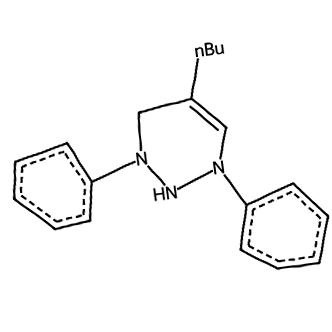 CCCCC1=CN(c2ccccc2)NN(c2ccccc2)C1